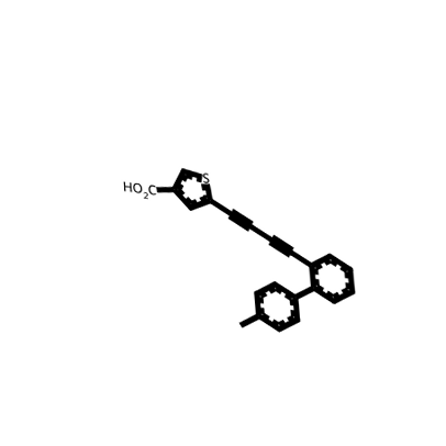 Cc1ccc(-c2ccccc2C#CC#Cc2cc(C(=O)O)cs2)cc1